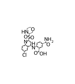 NC(=O)c1ccc(Nc2cc(S(=O)(=O)C3COCCN3)nc3ccc(Cl)cc23)c(C(=O)O)c1